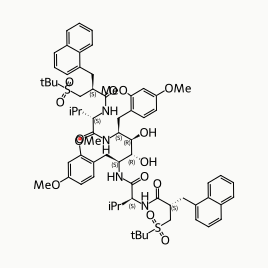 COc1ccc(C[C@H](NC(=O)[C@@H](NC(=O)[C@H](Cc2cccc3ccccc23)CS(=O)(=O)C(C)(C)C)C(C)C)[C@@H](O)[C@H](O)[C@H](Cc2ccc(OC)cc2OC)NC(=O)[C@@H](NC(=O)[C@H](Cc2cccc3ccccc23)CS(=O)(=O)C(C)(C)C)C(C)C)c(OC)c1